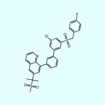 CC(C)(c1cc(-c2cccc(-c3cc(S(=O)(=O)Cc4ccc(F)cc4)c[n+]([O-])c3)c2)c2ncccc2c1)S(C)(=O)=O